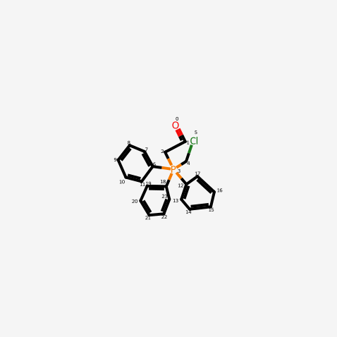 O=CCP(CCl)(c1ccccc1)(c1ccccc1)c1ccccc1